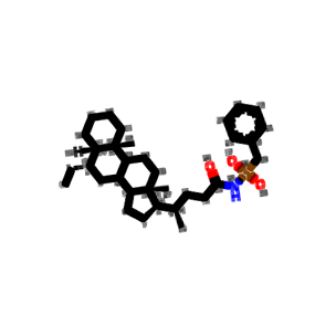 CC[C@H]1CC2C3CC[C@H]([C@H](C)CCC(=O)NS(=O)(=O)Cc4ccccc4)[C@@]3(C)CCC2[C@@]2(C)CCCC[C@@H]12